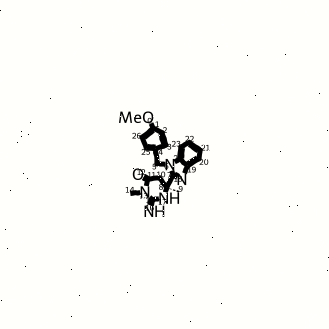 COc1ccc(Cn2c([C@]3(C)CC(=O)N(C)C(=N)N3)nc3ccccc32)cc1